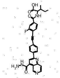 CCC(C)C(NC(=O)c1ccc(C#Cc2ccc(-c3cc(C(=O)NN)c4cnccc4n3)cc2)c(F)c1)C(=O)O